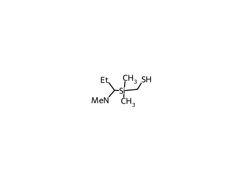 CCC(NC)[Si](C)(C)CS